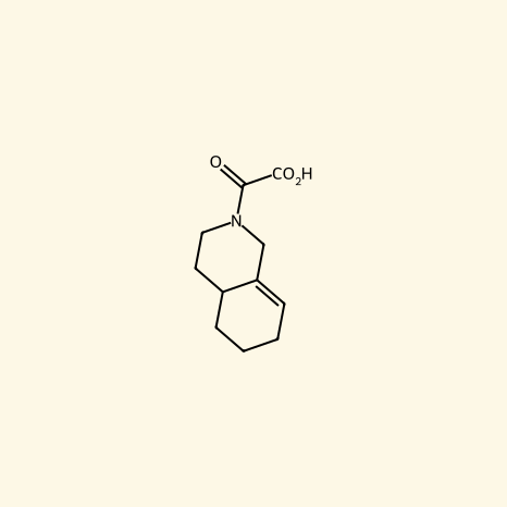 O=C(O)C(=O)N1CCC2CCCC=C2C1